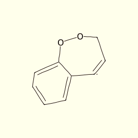 [C]1=CCOOc2ccccc21